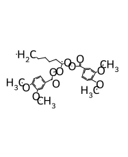 [CH2]CCCC[C](OOC(=O)c1ccc(OC)c(OC)c1)OOC(=O)c1ccc(OC)c(OC)c1